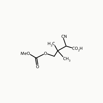 COC(=O)OCC(C)(C)C(C#N)C(=O)O